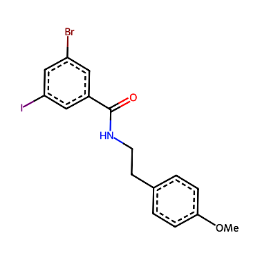 COc1ccc(CCNC(=O)c2cc(Br)cc(I)c2)cc1